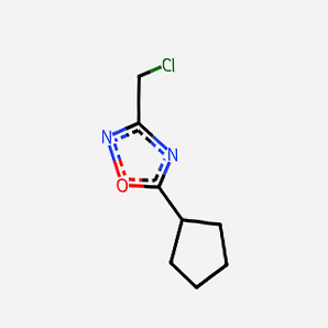 ClCc1noc(C2CCCC2)n1